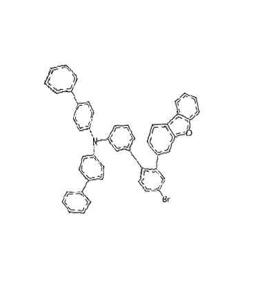 Brc1ccc(-c2cccc(N(c3ccc(-c4ccccc4)cc3)c3ccc(-c4ccccc4)cc3)c2)c(-c2ccc3c(c2)oc2ccccc23)c1